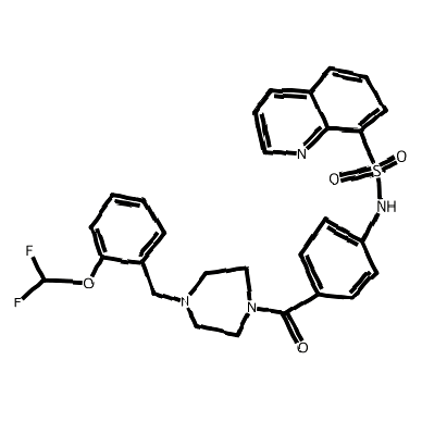 O=C(c1ccc(NS(=O)(=O)c2cccc3cccnc23)cc1)N1CCN(Cc2ccccc2OC(F)F)CC1